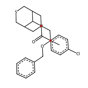 CC(CN1CC2CSCC(C1)C2OC(=O)c1ccc(Cl)cc1)OCc1ccccc1